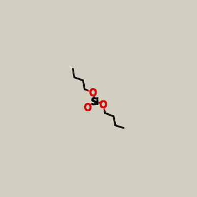 CCCCO[Si](=O)OCCCC